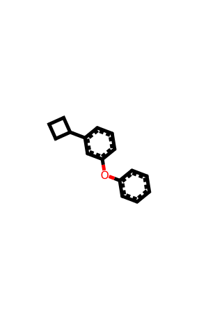 c1ccc(Oc2cccc([C]3CCC3)c2)cc1